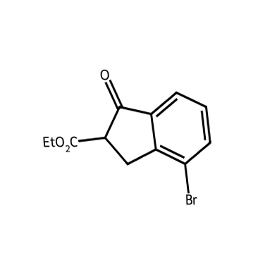 CCOC(=O)C1Cc2c(Br)cccc2C1=O